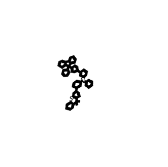 CC1(C)c2ccccc2Sc2cc(-c3cccc(N(c4ccccc4)c4cccc(-c5ccc(C6(c7ccccc7)c7ccccc7-c7ccccc76)cc5)c4)c3)ccc21